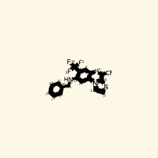 FC(F)(F)c1cc2nc(Cl)c3nccn3c2cc1NCc1ccccc1